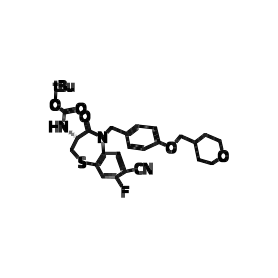 CC(C)(C)OC(=O)N[C@H]1CSc2cc(F)c(C#N)cc2N(Cc2ccc(OCC3CCOCC3)cc2)C1=O